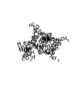 C#CCN1C(=O)COc2cc(F)c(/N=c3\snc4n3CC(C)(C)C4)cc21.CCS(=O)(=O)c1cccnc1S(=O)(=O)NC(=O)Nc1nc(OC)cc(OC)n1.COc1nc(C)nc(NC(=O)NS(=O)(=O)c2ccccc2CCC(F)(F)F)n1.O=C(O)CNCP(=O)(O)O